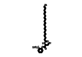 CCC=CCC=CCC=CCC=CCC=CCC=CCCC(=O)NC(CC(C)C)C(=O)Oc1ccccc1C(=O)OCC